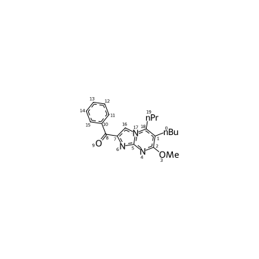 CCCCc1c(OC)nc2nc(C(=O)c3ccccc3)cn2c1CCC